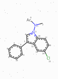 CC(=O)N(C)n1cc(-c2ccccc2)c2cc(Cl)ccc21